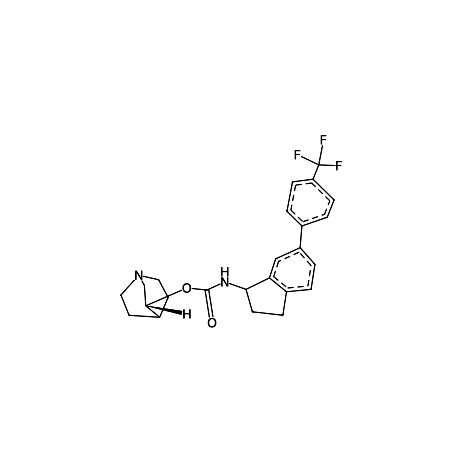 O=C(NC1CCc2ccc(-c3ccc(C(F)(F)F)cc3)cc21)O[C@H]1CN2CCC1CC2